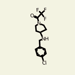 O=C(N1CCC(NCc2ccc(Cl)cc2)CC1)C(F)(F)F